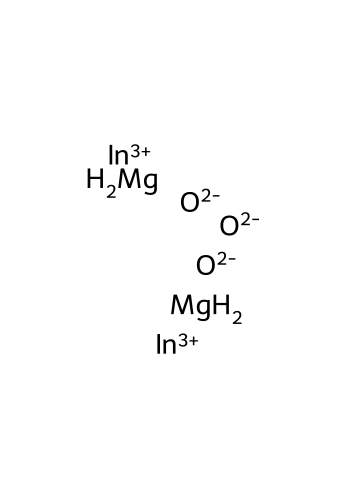 [In+3].[In+3].[MgH2].[MgH2].[O-2].[O-2].[O-2]